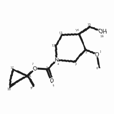 COC1CN(C(=O)OC2(C)CC2)CCC1CO